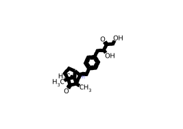 CC12CCC3/C(=C\c4ccc(CC(O)C(=O)CO)cc4)C(C)(C1=O)C32C